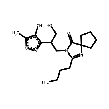 CCCCC1=NC2(CCCC2)C(=O)N1C[C](CO)c1noc(C)c1C